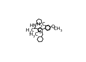 C=C(NC1CCCCC1)c1cc(-c2ccc(OC)cc2C)n(CC2CCCCC2)c1C